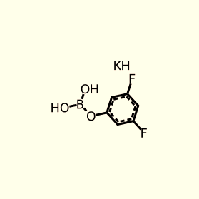 OB(O)Oc1cc(F)cc(F)c1.[KH]